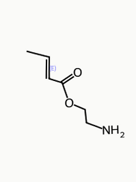 C/C=C/C(=O)OCCN